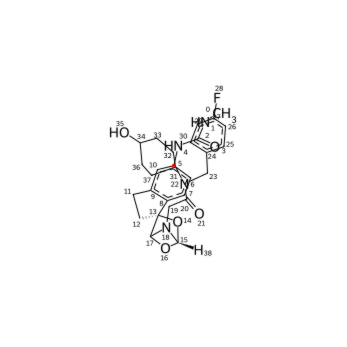 CNC(=O)Nc1ccc2c(c1)CC[C@@]21O[C@@H]2OC1N2CC(=O)N(Cc1ccc(F)cc1)C1CCC(O)CC1